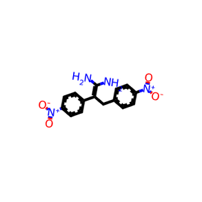 NC(N)=C(Cc1ccc([N+](=O)[O-])cc1)c1ccc([N+](=O)[O-])cc1